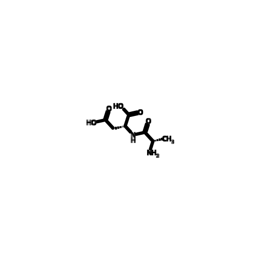 C[C@H](N)C(=O)N[C@H](CC(=O)O)C(=O)O